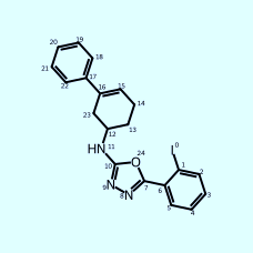 Ic1ccccc1-c1nnc(NC2CCC=C(c3ccccc3)C2)o1